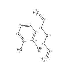 C=CCOCC=C.Oc1ccccc1O